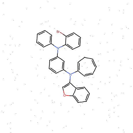 Brc1ccccc1N(c1ccccc1)c1cccc(N(C2=CCC=CC=C2)c2coc3ccccc23)c1